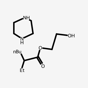 C1CNCCN1.CCCCC(CC)C(=O)OCCO